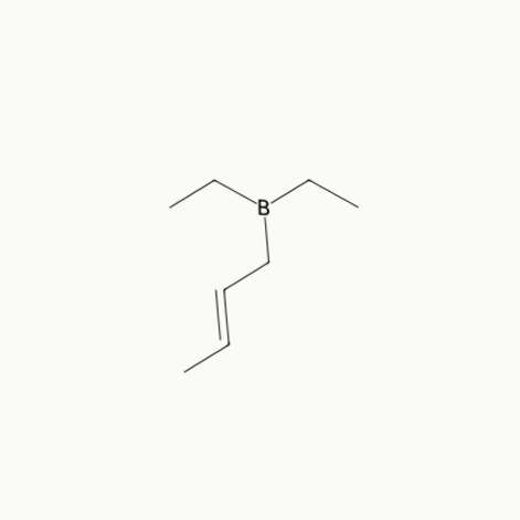 CC=CCB(CC)CC